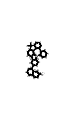 CC1(C)c2cccc3c2-c2c1ccc1c4cc(-c5cccc6ccc(Cl)cc56)ccc4n(c21)-c1ccccc1-3